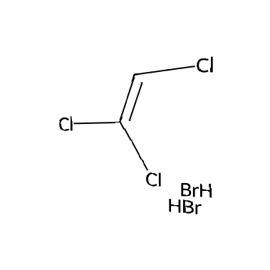 Br.Br.ClC=C(Cl)Cl